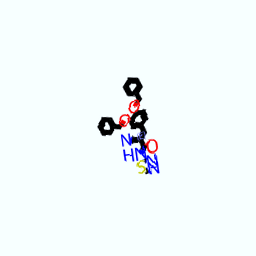 N#C/C(=C\c1ccc(OCc2ccccc2)c(OCc2ccccc2)c1)C(=O)Nc1nncs1